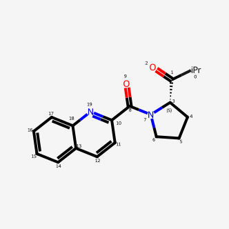 CC(C)C(=O)[C@@H]1CCCN1C(=O)c1ccc2ccccc2n1